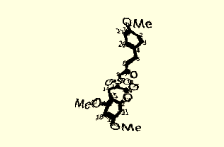 COc1ccc(/C=C/C(=O)CS(=O)(=O)c2cc3c(OC)cc(OC)cc3oc2=O)cc1